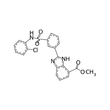 COC(=O)c1cccc2nc(-c3cccc(S(=O)(=O)Nc4ccccc4Cl)c3)[nH]c12